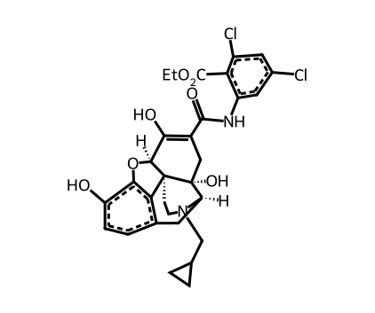 CCOC(=O)c1c(Cl)cc(Cl)cc1NC(=O)C1=C(O)[C@@H]2Oc3c(O)ccc4c3[C@@]23CCN(CC2CC2)[C@H](C4)[C@]3(O)C1